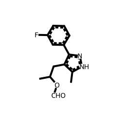 Cc1[nH]nc(-c2cccc(F)c2)c1CC(C)OC=O